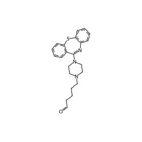 O=CCCCCN1CCN(C2=Nc3ccccc3Sc3ccccc32)CC1